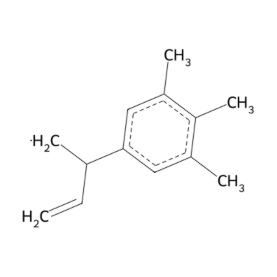 [CH2]C(C=C)c1cc(C)c(C)c(C)c1